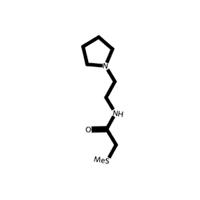 CSCC(=O)NCCN1CCCC1